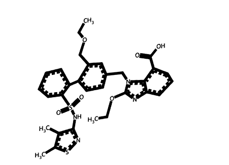 CCOCc1cc(Cn2c(OCC)nc3cccc(C(=O)O)c32)ccc1-c1ccccc1S(=O)(=O)Nc1nsc(C)c1C